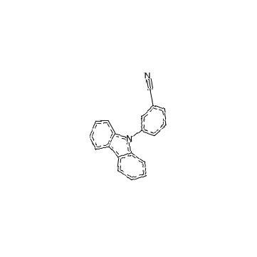 N#Cc1cccc(-n2c3ccccc3c3ccccc32)c1